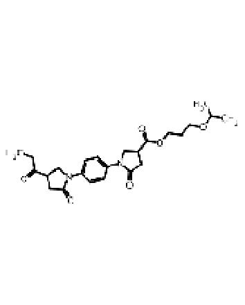 CCC(=O)C1CC(=O)N(c2ccc(N3CC(C(=O)OCCCOC(C)C)CC3=O)cc2)C1